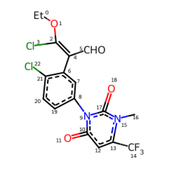 CCOC(Cl)=C(C=O)c1cc(-n2c(=O)cc(C(F)(F)F)n(C)c2=O)ccc1Cl